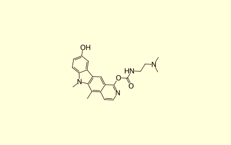 Cc1c2ccnc(OC(=O)NCCN(C)C)c2cc2c3cc(O)ccc3n(C)c12